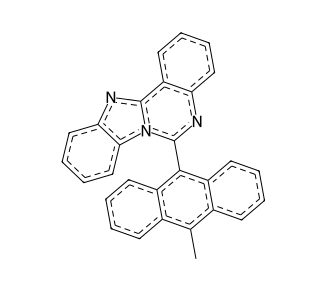 Cc1c2ccccc2c(-c2nc3ccccc3c3nc4ccccc4n23)c2ccccc12